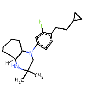 CC1(C)CN(c2ccc(CCC3CC3)c(F)c2)C2CCCC[C@@H]2N1